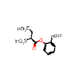 CCCCCCCCc1ccccc1OC(=O)C(CC(=O)O)S(=O)(=O)O